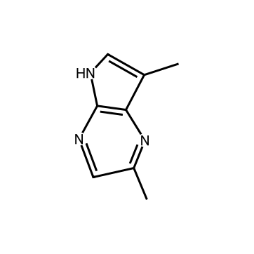 Cc1cnc2[nH]cc(C)c2n1